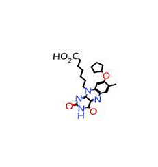 Cc1cc2nc3c(=O)[nH]c(=O)nc-3n(CCCCCCC(=O)O)c2cc1OC1CCCC1